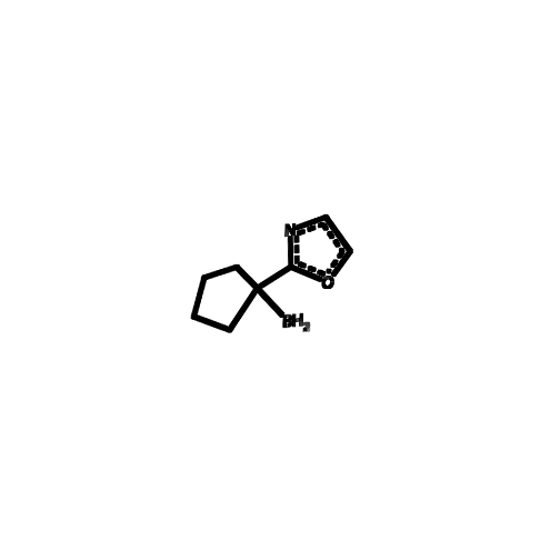 BC1(c2ncco2)CCCC1